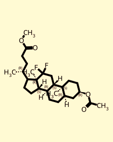 COC(=O)CC[C@@H](C)C1CC[C@H]2[C@@H]3CC[C@@H]4C[C@H](OC(C)=O)CC[C@]4(C)[C@H]3CC(F)(F)[C@]12C